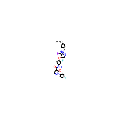 COc1ccc(Cn2nc(I)c3c(Oc4ccc(NC(=O)c5ccnn(-c6ccc(F)cc6)c5=O)cc4F)ccnc32)cc1